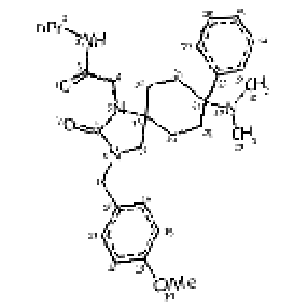 CCCNC(=O)CN1C(=O)N(Cc2ccc(OC)cc2)CC12CCC(c1ccccc1)(N(C)C)CC2